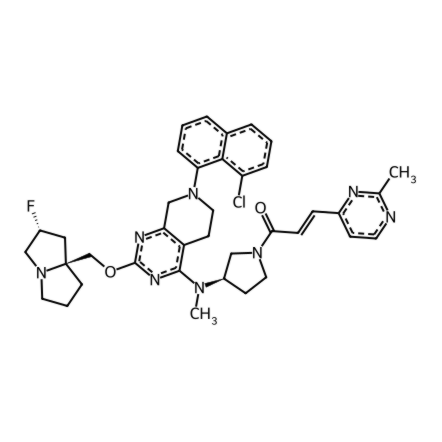 Cc1nccc(/C=C/C(=O)N2CC[C@@H](N(C)c3nc(OC[C@@]45CCCN4C[C@H](F)C5)nc4c3CCN(c3cccc5cccc(Cl)c35)C4)C2)n1